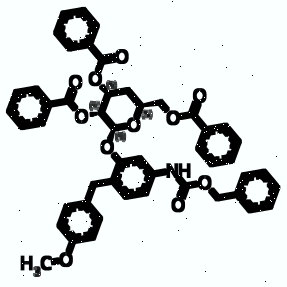 COc1ccc(Cc2ccc(NC(=O)OCc3ccccc3)cc2O[C@@H]2O[C@H](COC(=O)c3ccccc3)C[C@H](OC(=O)c3ccccc3)[C@H]2OC(=O)c2ccccc2)cc1